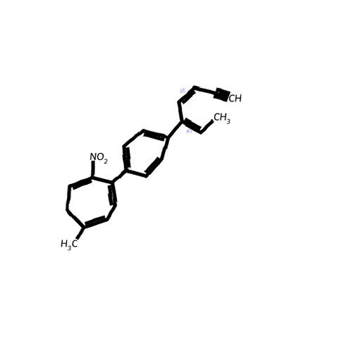 C#C/C=C\C(=C/C)c1ccc(C2=CC=C(C)CC=C2[N+](=O)[O-])cc1